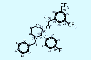 C[C@@H](O[C@H]1OCCN(Cc2ccccc2)[C@H]1c1ccc(F)cc1)c1cc(C(F)(F)F)cc(C(F)(F)F)c1